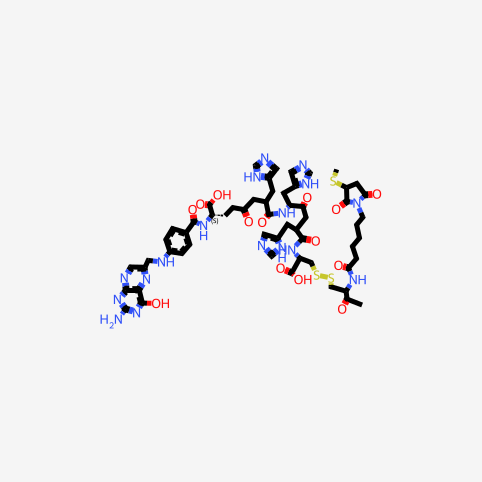 CSC1CC(=O)N(CCCCCC(=O)NC(CSSCC(NC(=O)C(CC(=O)C(Cc2cnc[nH]2)NC(=O)C(CC(=O)CC[C@H](NC(=O)c2ccc(NCc3cnc4nc(N)nc(O)c4n3)cc2)C(=O)O)Cc2cnc[nH]2)Cc2cnc[nH]2)C(=O)O)C(C)=O)C1=O